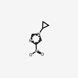 O=[N+]([O-])c1cn(C2CC2)cn1